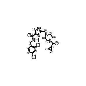 O=C(NCc1ccc(Cl)cc1Cl)c1cnc(CN2CCN(C(=O)C3CC3)CC2)s1